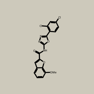 COc1cccc2cc(C(=O)Nc3nnc(-c4ccc(Cl)cc4Cl)o3)oc12